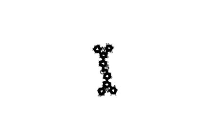 c1ccc2c(c1)c1cc(-c3ccc4c(c3)oc3c5ccc(-c6cc7c8ccccc8n8c9ccccc9c(c6)c78)cc5sc43)cc3c4ccccc4n2c13